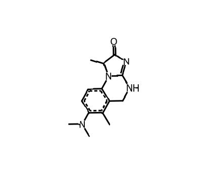 Cc1c(N(C)C)ccc2c1CNC1=NC(=O)C(C)N12